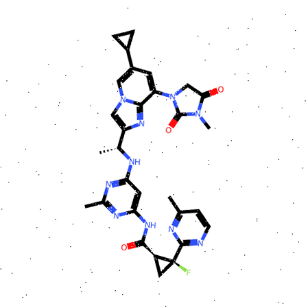 Cc1ccnc([C@]2(F)C[C@H]2C(=O)Nc2cc(N[C@H](C)c3cn4cc(C5CC5)cc(N5CC(=O)N(C)C5=O)c4n3)nc(C)n2)n1